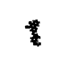 Cc1cn(Cc2ccc(-c3ccccc3C(=O)OC(C)(C)C)cc2)c2ccc(C(=O)O)cc12